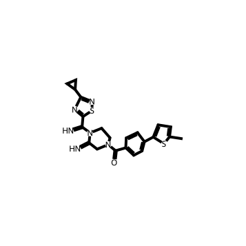 Cc1ccc(-c2ccc(C(=O)N3CCN(C(=N)c4nc(C5CC5)ns4)C(=N)C3)cc2)s1